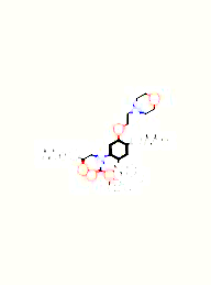 COC(=O)CN(C(=O)OC(C)(C)C)c1cc(OCCN2CCOCC2)c(OC)cc1[N+](=O)[O-]